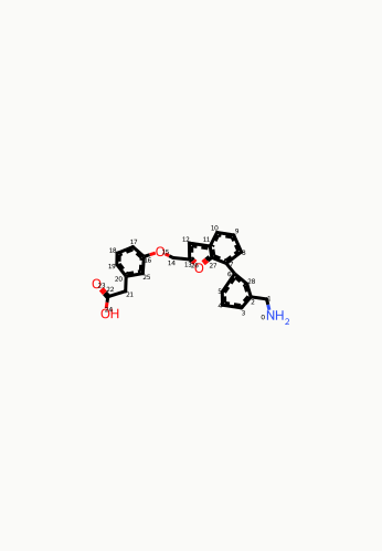 NCc1cccc(-c2cccc3cc(COc4cccc(CC(=O)O)c4)oc23)c1